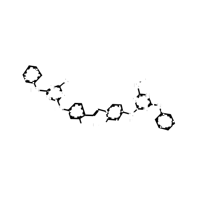 CCNc1nc(Nc2ccccc2)nc(Nc2ccc(/C=C/c3ccc(Nc4nc(NCC)nc(Nc5ccccc5)n4)cc3S(=O)(=O)O)c(S(=O)(=O)O)c2)n1